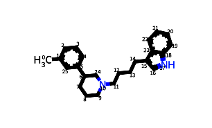 Cc1cccc(C2CCCN(CCCCc3c[nH]c4ccccc34)C2)c1